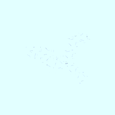 CC1=CC2=C(c3cccc(-c4cccc5c4OCC5)c3C2(C)C)C(C)(C)c2cc(N(c3ccc(-c4ccccc4)cc3)c3ccc(-c4ccc5oc6ccccc6c5c4)cc3)ccc21